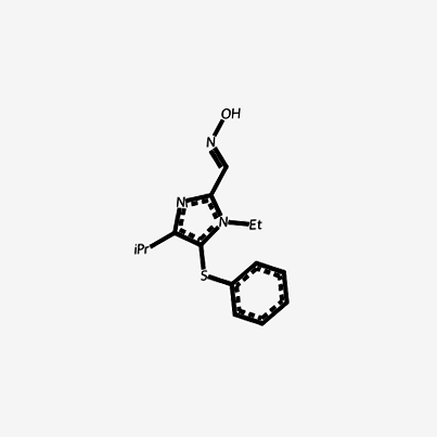 CCn1c(/C=N/O)nc(C(C)C)c1Sc1ccccc1